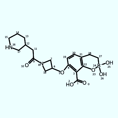 O=C(O)c1c(OC2CN(C(=O)CC3CCCNC3)C2)ccc2c1O[B-](O)(O)CC2